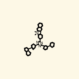 C[Si]1(C)c2cc(-c3nc(-c4ccc(-c5cccc6ccccc56)cc4)nc(-c4cccc(-c5ccccc5)c4)n3)ccc2-c2cc3ccccc3cc21